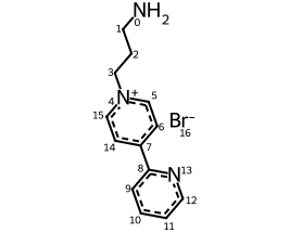 NCCC[n+]1ccc(-c2ccccn2)cc1.[Br-]